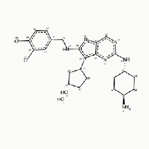 Cl.Cl.N[C@H]1CC[C@H](Nc2ncc3nc(NCc4ccc(Cl)c(Cl)c4)n(C4CCCC4)c3n2)CC1